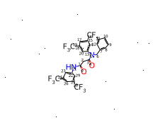 O=C(CC(=O)N(Cc1ccccc1)c1cc(C(F)(F)F)cc(C(F)(F)F)c1)Nc1cc(C(F)(F)F)cc(C(F)(F)F)c1